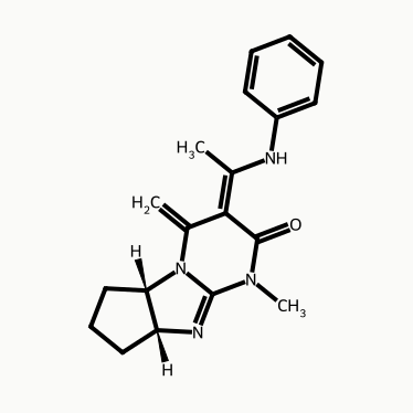 C=C1/C(=C(\C)Nc2ccccc2)C(=O)N(C)C2=N[C@@H]3CCC[C@@H]3N12